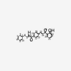 O=C(NCCc1ccccc1)c1ccc(/C=C/C(=O)c2ccccc2O)cc1